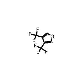 FC(F)(F)c1[c]occ1C(F)(F)F